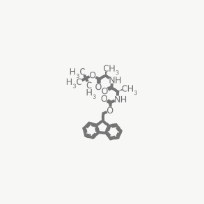 C[C@H](NC(=O)OCC1c2ccccc2-c2ccccc21)C(=O)N[C@H](C)C(=O)OC(C)(C)C